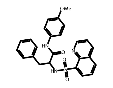 COc1ccc(NC(=O)C(Cc2ccccc2)NS(=O)(=O)c2cccc3cccnc23)cc1